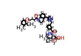 Cc1cccc(OCCCC(=O)N2CCCc3c(-c4cnn(Cc5cccc(C(=O)N[C@H](CC(=O)O)CC(C)C)c5)c4)cccc32)c1C